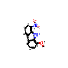 COc1cccc2c1[nH]c1c([N+](=O)[O-])cccc12